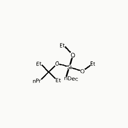 CCCCCCCCCC[Si](OCC)(OCC)OC(CC)(CC)CCC